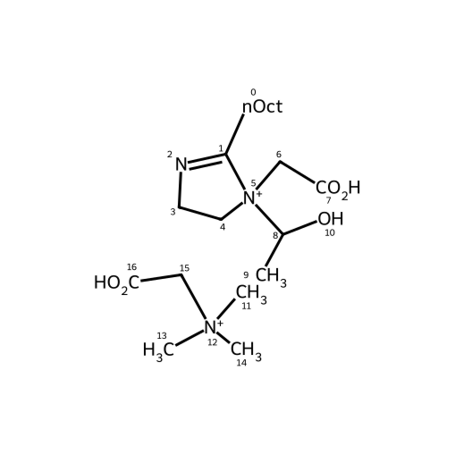 CCCCCCCCC1=NCC[N+]1(CC(=O)O)C(C)O.C[N+](C)(C)CC(=O)O